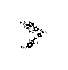 CC(C)N(C[C@@H]1C[C@@H](O)[C@H](n2cnc3c(N)ncnc32)O1)[C@H]1C[C@@H](CCc2nc3cc(C(C)(C)C)ccc3[nH]2)C1